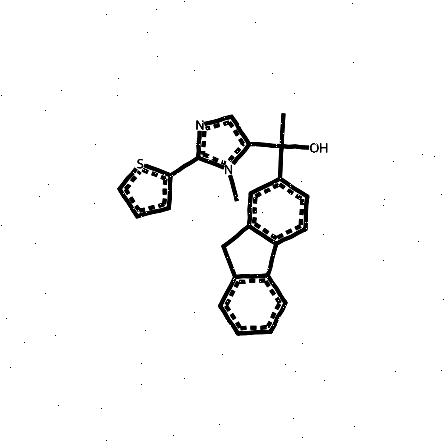 Cn1c(C(C)(O)c2ccc3c(c2)Cc2ccccc2-3)cnc1-c1cccs1